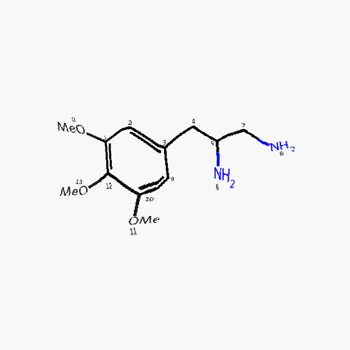 COc1cc(CC(N)CN)cc(OC)c1OC